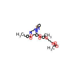 CCCc1ccc(C(=O)OCCc2ccc(OC(=O)c3ccc(OCCCCCCOC(=O)C4(CC)COC4)c(C)c3)cc2/C=N/N(CCCC#N)c2nc3ccccc3s2)cc1